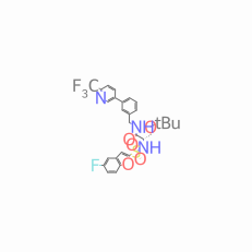 CC(C)(C)OC[C@H](NS(=O)(=O)c1cc2cc(F)ccc2o1)C(=O)NCc1cccc(-c2ccc(C(F)(F)F)nc2)c1